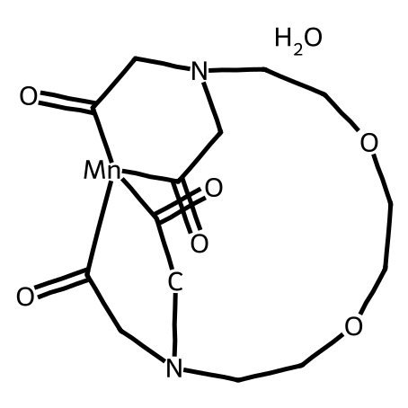 O.O=[C]1CN2CCOCCOCCN3C[C](=O)[Mn]1([C](=O)C2)[C](=O)C3